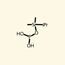 CC(C)[Si](C)(C)OP(O)O